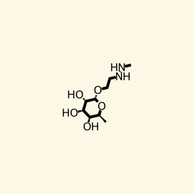 CNNCCO[C@@H]1O[C@@H](C)[C@@H](O)[C@@H](O)[C@@H]1O